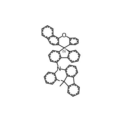 Cc1ccccc1N(c1cccc2c1-c1ccccc1[C@@]21c2ccccc2Oc2c1ccc1ccccc21)c1cccc2c1C(C)(C)c1ccccc1-2